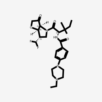 CCN1CCN(c2ccc(C(=O)N[C@H](C(=O)N3C[C@H](C(F)F)[C@H]4OCC(=O)[C@H]43)C(C)(C)CC)cc2)CC1